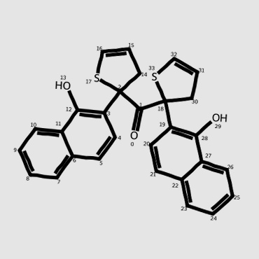 O=C(C1(c2ccc3ccccc3c2O)CC=CS1)C1(c2ccc3ccccc3c2O)CC=CS1